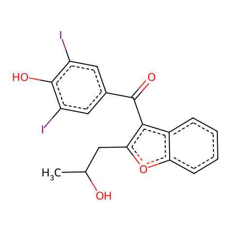 CC(O)Cc1oc2ccccc2c1C(=O)c1cc(I)c(O)c(I)c1